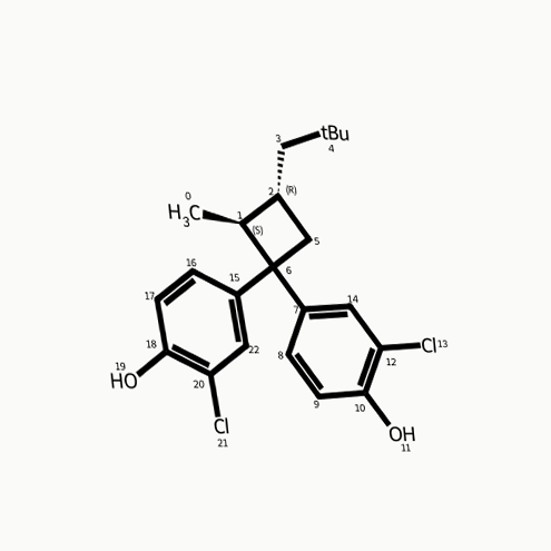 C[C@H]1[C@H](CC(C)(C)C)CC1(c1ccc(O)c(Cl)c1)c1ccc(O)c(Cl)c1